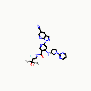 CC(C)(O)[C@H](F)CNC(=O)c1cnc(-n2ncc3cc(C#N)cnc32)cc1N[C@@H]1CCN(c2ncccn2)C1